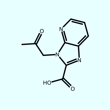 CC(=O)Cn1c(C(=O)O)nc2cccnc21